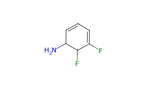 NC1C=CC=C(F)[C]1F